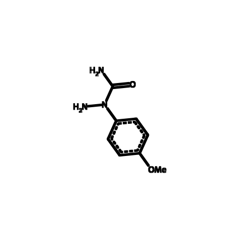 COc1ccc(N(N)C(N)=O)cc1